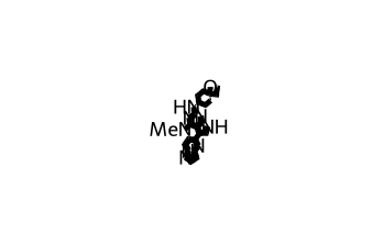 CNc1nc(N[C@H]2CC[C@]3(CCO3)CC2)nc2[nH]cc(-c3ccn4nccc4n3)c12